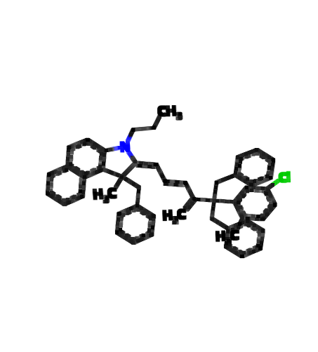 C=C(/C=C/C=C1/N(CCC)c2ccc3ccccc3c2C1(C)Cc1ccccc1)C(Cc1ccccc1)(Cc1ccccc1)c1cc(Cl)ccc1C